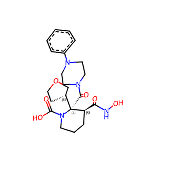 O=C(NO)[C@H]1CCCN(C(=O)O)[C@@]1(C(=O)N1CCN(c2ccccc2)CC1)[C@@H]1CCOC1